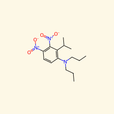 CCCN(CCC)c1ccc([N+](=O)[O-])c([N+](=O)[O-])c1C(C)C